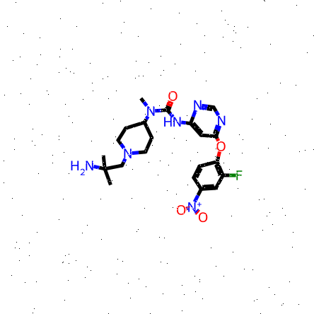 CN(C(=O)Nc1cc(Oc2ccc([N+](=O)[O-])cc2F)ncn1)C1CCN(CC(C)(C)N)CC1